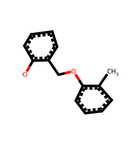 Cc1ccccc1OCc1ccccc1[O]